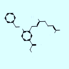 CC(C)=CCC/C(C)=C/Cc1cc(C(=O)CO)ccc1OCc1ccccc1